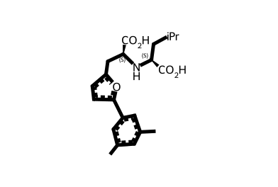 Cc1cc(C)cc(-c2ccc(C[C@H](N[C@@H](CC(C)C)C(=O)O)C(=O)O)o2)c1